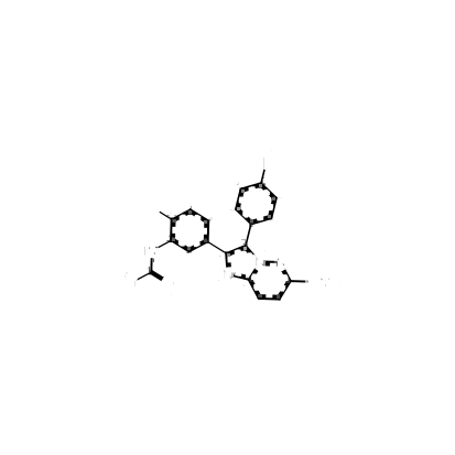 COc1ccc2nc(-c3ccc(C)c(NC(=O)C(C)(C)C)c3)c(-c3ccc(F)cc3)n2n1